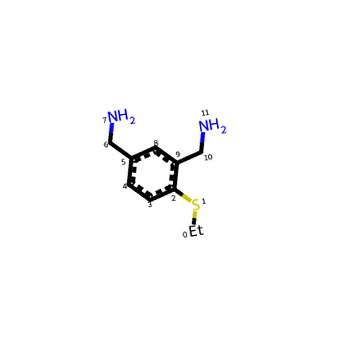 CCSc1ccc(CN)cc1CN